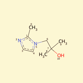 Cc1nccn1CC(C)(C)O